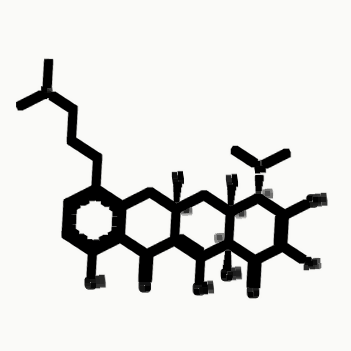 CC(=O)C1=C(O)[C@@H](N(C)C)[C@@H]2C[C@@H]3Cc4c(CCCN(C)C)ccc(O)c4C(=O)C3=C(O)[C@]2(O)C1=O